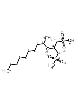 CCCCCCCCC(C)OC(CS(=O)(=O)O)CS(=O)(=O)O